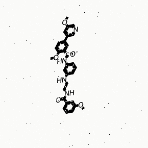 COc1cccc(C(=O)NCCNc2cccc(N[S+]([O-])c3cc(-c4cncc(OC)c4)ccc3OC)c2)c1